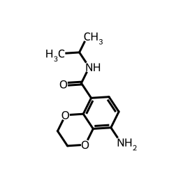 CC(C)NC(=O)c1ccc(N)c2c1OCCO2